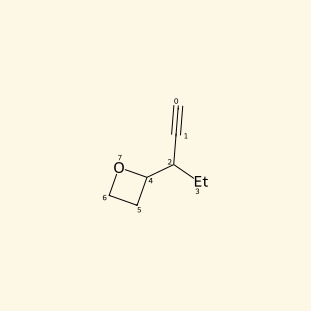 [C]#CC(CC)C1CCO1